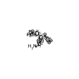 NCc1ccc(S(=O)(=O)N2C[C@@H](C(=O)N3CCS(=O)(=O)CC3)C[C@@H](c3cccc(OC(=O)C(F)(F)F)c3)C2)s1